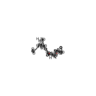 CC[C@H](C)[C@@H]([C@@H](CC(=O)N1CCC[C@H]1[C@H](OC)[C@@H](C)C(=O)N[C@@H](Cc1ccccc1)C(=O)OC)OC)N(C)C(=O)[C@@H](NC(=O)C1(C)CCCN1C(=O)OCc1ccc(NC(=O)[C@H](CCCNC(N)=O)NC(=O)[C@@H](NC(=O)CCCCCN2C(=O)C=CC2=O)C(C)C)cc1)C(C)C